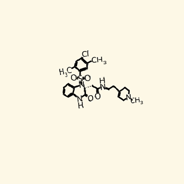 Cc1cc(S(=O)(=O)N2c3ccccc3NC(=O)[C@H]2CC(=O)NCCC2=CCN(C)CC2)c(C)cc1Cl